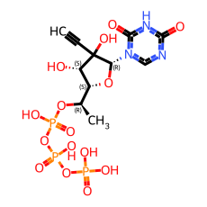 C#CC1(O)[C@@H](O)[C@@H]([C@@H](C)OP(=O)(O)OP(=O)(O)OP(=O)(O)O)O[C@H]1n1cnc(=O)[nH]c1=O